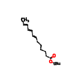 CC=CC=CC=CCCCCCC(=O)OC(C)(C)C